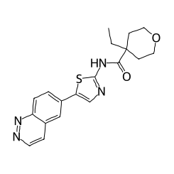 CCC1(C(=O)Nc2ncc(-c3ccc4nnccc4c3)s2)CCOCC1